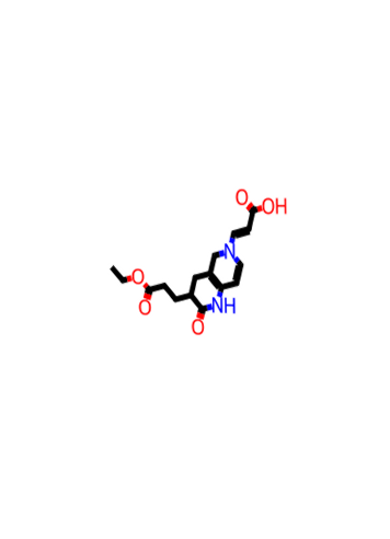 CCOC(=O)CCC1CC2=C(C=CN(C=CC(=O)O)C2)NC1=O